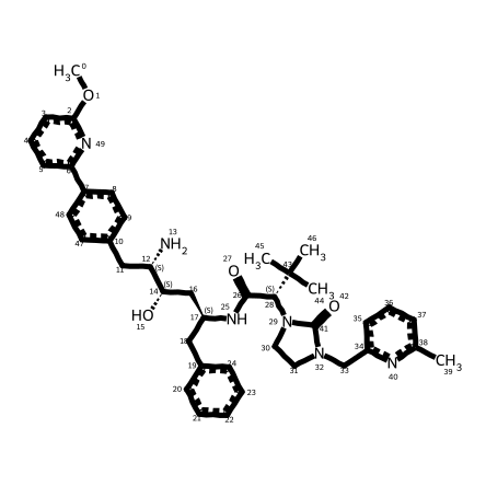 COc1cccc(-c2ccc(C[C@H](N)[C@@H](O)C[C@H](Cc3ccccc3)NC(=O)[C@@H](N3CCN(Cc4cccc(C)n4)C3=O)C(C)(C)C)cc2)n1